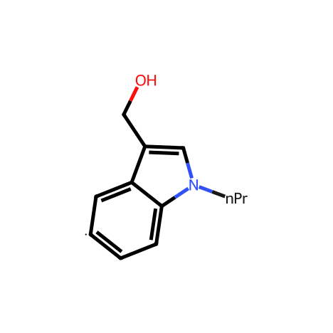 CCCn1cc(CO)c2c[c]ccc21